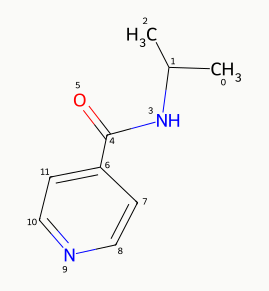 CC(C)NC(=O)c1ccncc1